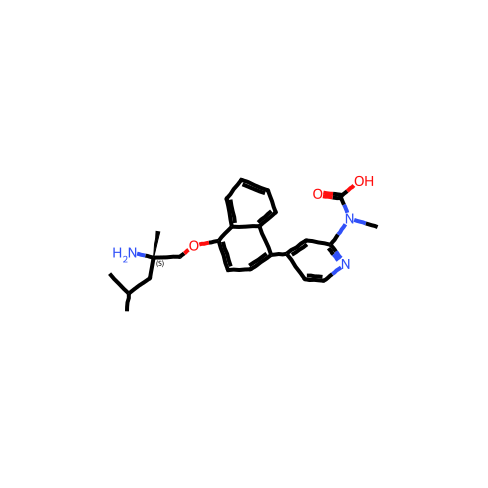 CC(C)C[C@](C)(N)COc1ccc(-c2ccnc(N(C)C(=O)O)c2)c2ccccc12